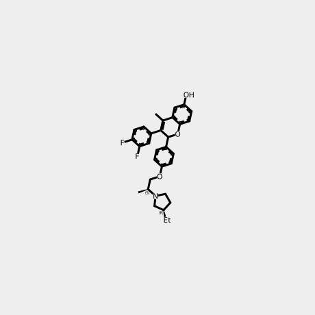 CC[C@@H]1CCN([C@@H](C)COc2ccc(C3Oc4ccc(O)cc4C(C)=C3c3ccc(F)c(F)c3)cc2)C1